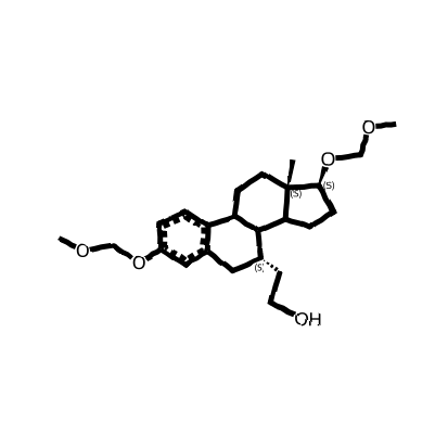 COCOc1ccc2c(c1)C[C@@H](CCO)C1C2CC[C@@]2(C)C1CC[C@@H]2OCOC